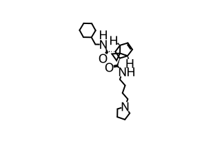 O=C(NCCCCN1CCCC1)[C@H]1[C@H](C(=O)NCC2CCCCC2)[C@@H]2C=C[C@H]1C21CC1